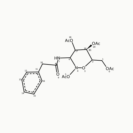 CC(=O)OCC1ON(OC(C)=O)C(NC(=O)Cc2ccccc2)C(OC(C)=O)[C@H]1OC(C)=O